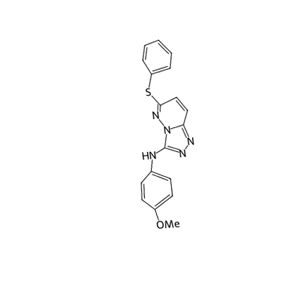 COc1ccc(Nc2nnc3ccc(Sc4ccccc4)nn23)cc1